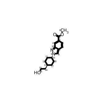 COC(=O)c1ccc2cn([C@H]3CC[C@H](CCO)CC3)nc2c1